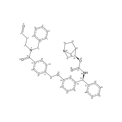 O=CCCN(Cc1ccccc1)C(=O)c1ccc(COc2cccc([C@@H](NC(=O)O[C@H]3CN4CCC3C4)c3ccccc3)c2)cc1